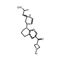 CC(=O)N1CN(C(=O)c2cnc3c(c2)CCCN3C2C=CN/C(=C\C(C)C=O)C2)C1